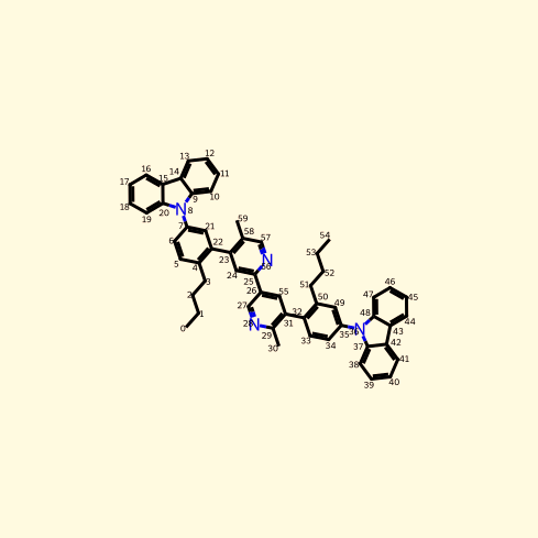 CCCCc1ccc(-n2c3ccccc3c3ccccc32)cc1-c1cc(-c2cnc(C)c(-c3ccc(-n4c5ccccc5c5ccccc54)cc3CCCC)c2)ncc1C